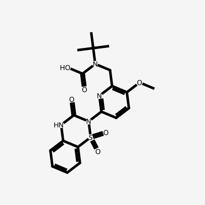 COc1ccc(N2C(=O)Nc3ccccc3S2(=O)=O)nc1CN(C(=O)O)C(C)(C)C